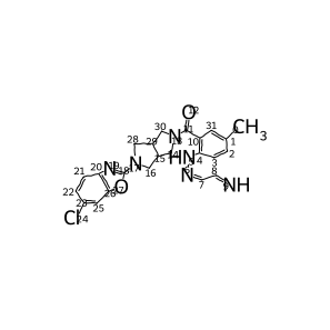 Cc1ccc(N/N=C\C=N)c(C(=O)N2CC3CN(c4nc5ccc(Cl)cc5o4)CC3C2)c1